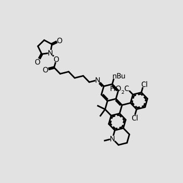 CCCCC1=CC2=C(c3c(Cl)ccc(Cl)c3C(=O)O)c3cc4c(cc3C(C)(C)C2=C/C1=N\CCCCCC(=O)ON1C(=O)CCC1=O)N(C)CCC4